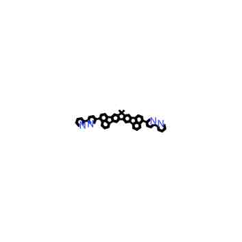 CC1(C)c2cc3c(cc2-c2cc4c(cc21)-c1ccc(-c2ccc(-c5ccccn5)nc2)c2cccc-4c12)-c1cccc2c(-c4ccc(-c5ccccn5)nc4)ccc-3c12